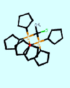 CC(Cl)([PH](C1CCCC1)(C1CCCC1)C1CCCC1)[PH](C1CCCC1)(C1CCCC1)C1CCCC1